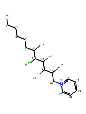 FCCCCCC(F)C(F)C(F)C(F)C(F)C[n+]1ccccc1